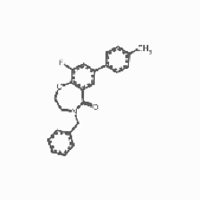 Cc1ccc(-c2cc(F)c3c(c2)C(=O)N(Cc2ccccc2)CCO3)cc1